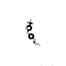 C[CH]Oc1ccc(Oc2ccc(C(F)(F)F)cn2)cc1